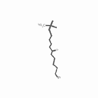 CC(C)CCCCCC(=O)CCCCCC(C)(C)C(=O)O